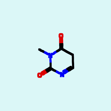 CN1C(=O)CC=NC1=O